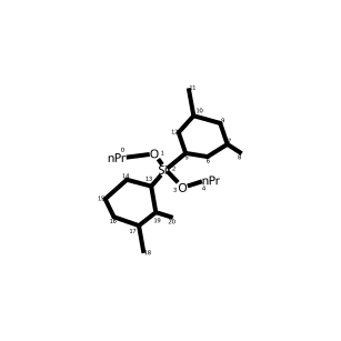 CCCO[Si](OCCC)(C1CC(C)CC(C)C1)C1CCCC(C)C1C